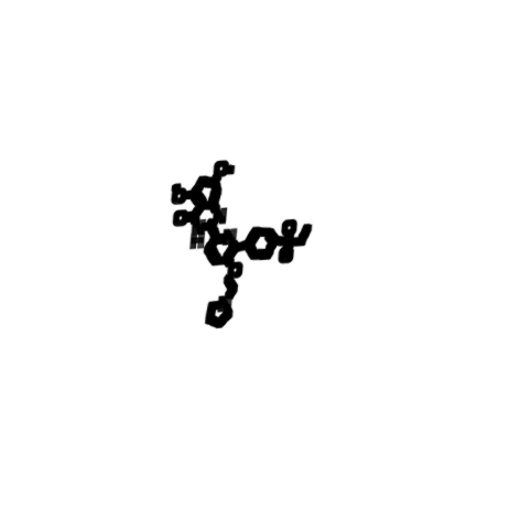 CCS(=O)(=O)c1ccc(-c2nc(-c3nc4cc(OC)cc(OC)c4c(=O)[nH]3)ccc2OCCN2CCCC2)cc1